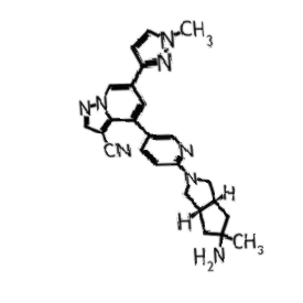 Cn1ccc(-c2cc(-c3ccc(N4C[C@@H]5CC(C)(N)C[C@@H]5C4)nc3)c3c(C#N)cnn3c2)n1